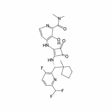 CN(C)C(=O)c1nccc(Nc2c(N[C@@H](c3nc(C(F)F)ccc3F)C3(C)CCCC3)c(=O)c2=O)c1O